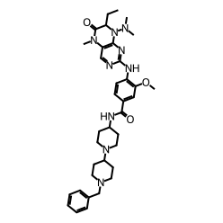 CCC1C(=O)N(C)c2cnc(Nc3ccc(C(=O)NC4CCN(C5CCN(Cc6ccccc6)CC5)CC4)cc3OC)nc2N1N(C)C